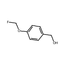 OCc1ccc(O[CH]F)cc1